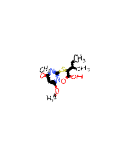 CCC(C)=C(Sc1nc(OC)cc(OC)n1)C(=O)O